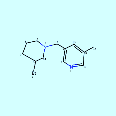 CCC1CCCN(Cc2cncc(C)c2)C1